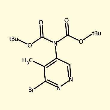 Cc1c(N(C(=O)OC(C)(C)C)C(=O)OC(C)(C)C)cnnc1Br